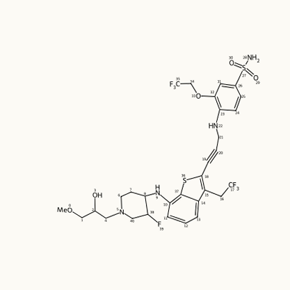 COCC(O)CN1CCC(Nc2cccc3c(CC(F)(F)F)c(C#CCNc4ccc(S(N)(=O)=O)cc4OCC(F)(F)F)sc23)C(F)C1